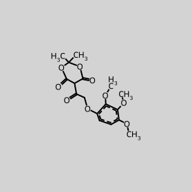 COc1ccc(OCC(=O)C2C(=O)OC(C)(C)OC2=O)c(OC)c1OC